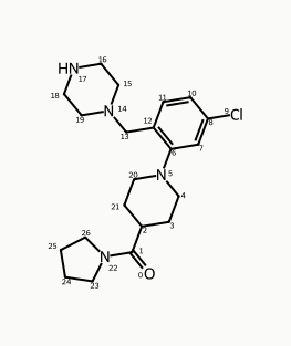 O=C(C1CCN(c2cc(Cl)ccc2CN2CCNCC2)CC1)N1CCCC1